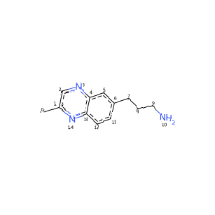 [CH2]c1cnc2cc(CCCN)ccc2n1